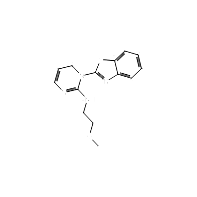 COCCNC1=NC=C[CH]N1c1nc2ccccc2s1